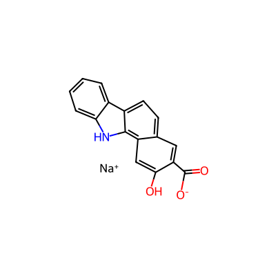 O=C([O-])c1cc2ccc3c4ccccc4[nH]c3c2cc1O.[Na+]